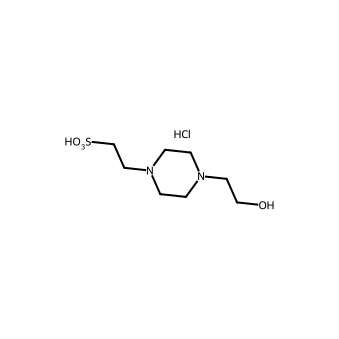 Cl.O=S(=O)(O)CCN1CCN(CCO)CC1